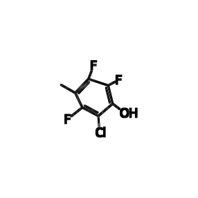 Cc1c(F)c(F)c(O)c(Cl)c1F